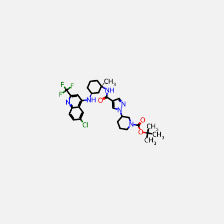 CC(C)(C)OC(=O)N1CCCC(n2cc(C(=O)N[C@]3(C)CCC[C@H](Nc4cc(C(F)(F)F)nc5ccc(Cl)cc45)C3)cn2)C1